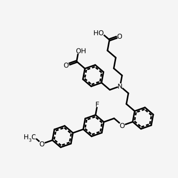 COc1ccc(-c2ccc(COc3ccccc3CCN(CCCCC(=O)O)Cc3ccc(C(=O)O)cc3)c(F)c2)cc1